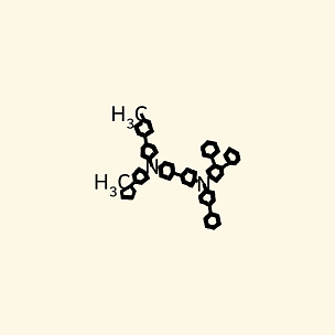 Cc1ccc(-c2ccc(N(c3ccc(-c4ccc(N(c5ccc(-c6ccccc6)cc5)c5ccc(-c6ccccc6)c(-c6ccccc6)c5)cc4)cc3)c3ccc(C4(C)CC=CC4)cc3)cc2)cc1